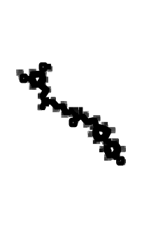 COc1cc(CCN(C)CCCCNC(=O)C/C=C/c2ccc(-n3ccc(=O)cc3)cc2)cc(OC)c1